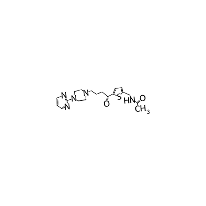 CC(=O)NCc1ccc(C(=O)CCCN2CCN(c3ncccn3)CC2)s1